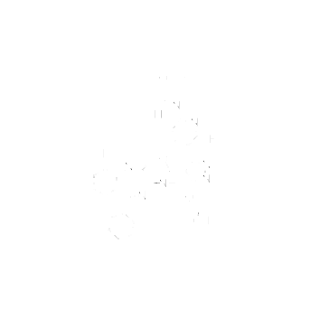 C[C@@H]1CCn2nc(-c3ccc(N4C[C@H]5C[C@@H]4CO5)nc3F)c(C(=O)N[C@H]3N=C(c4ccccc4)c4cccc(F)c4NC3=O)c2O1